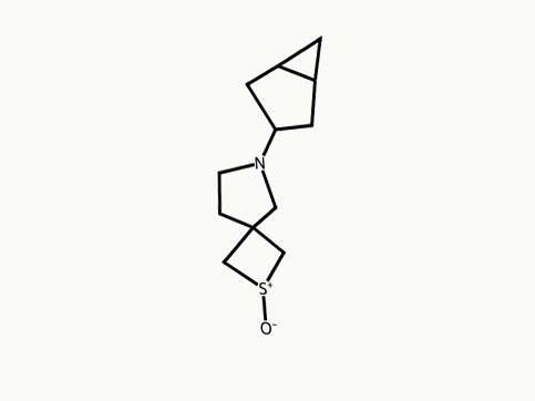 [O-][S+]1CC2(CCN(C3CC4CC4C3)C2)C1